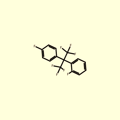 Fc1ccc(C(c2ccccc2F)(C(F)(F)F)C(F)(F)F)cc1